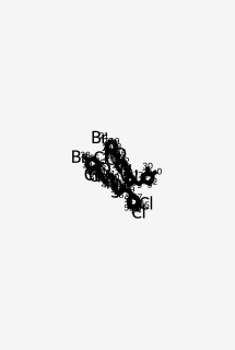 Cc1ccc(Cc2csc(N3CCN(S(=O)(=O)c4ccc(Br)cc4Cl)CC3)n2)cc1C.O=S(=O)(c1ccc(Br)cc1Cl)N1CCN(c2nc(Cc3ccc(Cl)c(Cl)c3)cs2)CC1